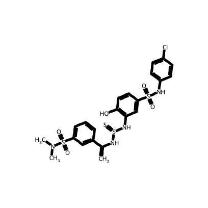 C=C(NS(=S)Nc1cc(S(=O)(=O)Nc2ccc(Cl)cc2)ccc1O)c1cccc(S(=O)(=O)N(C)C)c1